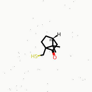 CC1(C)[C@@H]2CCC1(CS)C(=O)C2